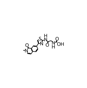 Cn1ccc2ccc(-c3csc(NC(=O)CNC(=O)O)n3)cc2c1=O